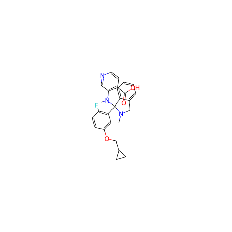 CN1Cc2ccccc2C1(c1cc(OCC2CC2)ccc1F)N(C)c1cnccc1C(=O)O